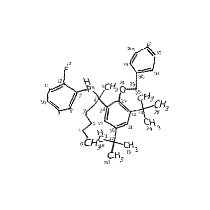 CCCCC(C)(Pc1ccccc1F)c1cc(C(C)(C)C)cc(C(C)(C)C)c1OCc1ccccc1